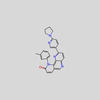 Cc1cccc(-n2c(=O)ccc3cnc4ccc(-c5ccc(N6CCCC6)nc5)nc4c32)c1